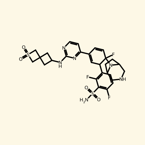 NS(=O)(=O)c1c(F)ccc(C2C=C(c3ccnc(NC4CC5(C4)CS(=O)(=O)C5)n3)C=CC2(F)N2C3CCC2CNC3)c1F